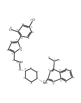 CN(C)c1nc(N[C@H]2CC[C@@H](CNCc3ccc(-c4ccc(Cl)cc4Cl)o3)CC2)nc2ccccc12